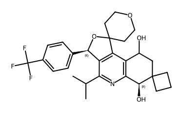 CC(C)c1nc2c(c3c1[C@@H](c1ccc(C(F)(F)F)cc1)OC31CCOCC1)C(O)CC1(CCC1)[C@H]2O